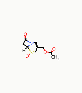 CC(=O)OCC1=CN2C(=O)C[C@H]2[S+]([O-])C1